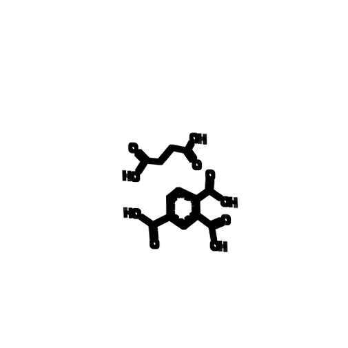 O=C(O)CCC(=O)O.O=C(O)c1ccc(C(=O)O)c(C(=O)O)c1